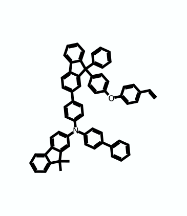 C=Cc1ccc(Oc2ccc(C3(c4ccccc4)c4ccccc4-c4ccc(-c5ccc(N(c6ccc(-c7ccccc7)cc6)c6ccc7c(c6)C(C)(C)c6ccccc6-7)cc5)cc43)cc2)cc1